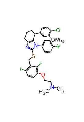 COc1cc(C2CCCc3nc(SCc4c(F)ccc(OCCN(C)C)c4F)n(-c4ccc(F)cc4)c32)ccc1Cl